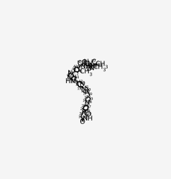 Cc1cc(-c2ncnc3[nH]c(-c4ccc(N5CCN(CC6CCN(c7ccc(N8CCC(=O)NC8=O)cc7)CC6)CC5)nc4)cc23)ccc1C(C)NC(=O)c1nc(C(C)(C)C)no1